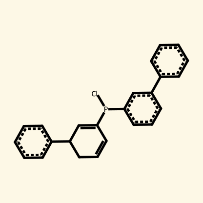 ClP(C1=CC(c2ccccc2)CC=C1)c1cccc(-c2ccccc2)c1